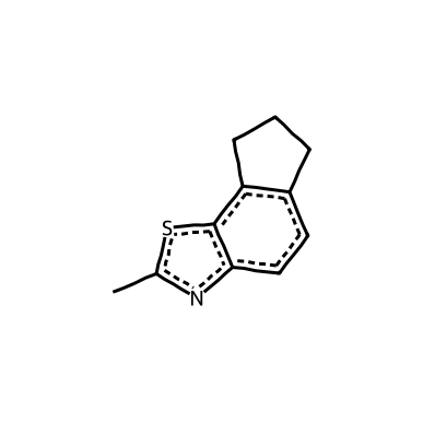 Cc1nc2ccc3c(c2s1)CCC3